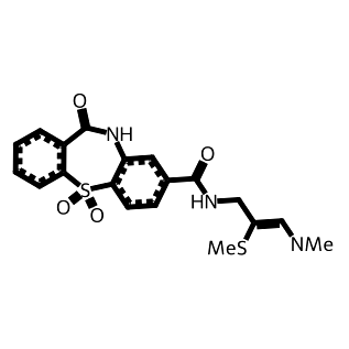 CN/C=C(/CNC(=O)c1ccc2c(c1)NC(=O)c1ccccc1S2(=O)=O)SC